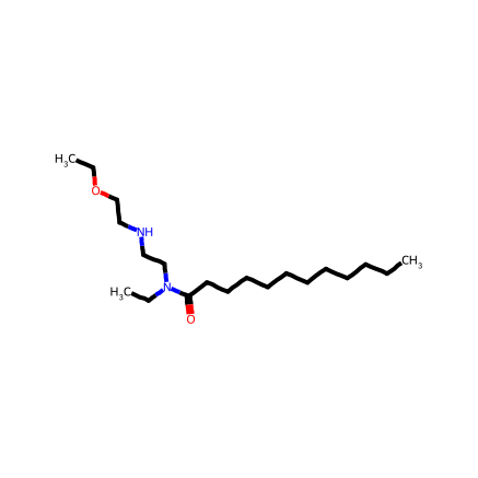 CCCCCCCCCCCC(=O)N(CC)CCNCCOCC